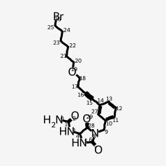 NC(=O)NC1NC(=O)N(Cc2cccc(C#CCCOCCCCCCBr)c2)C1=O